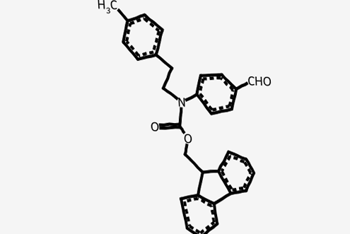 Cc1ccc(CCN(C(=O)OCC2c3ccccc3-c3ccccc32)c2ccc(C=O)cc2)cc1